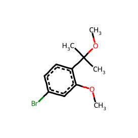 COc1cc(Br)ccc1C(C)(C)OC